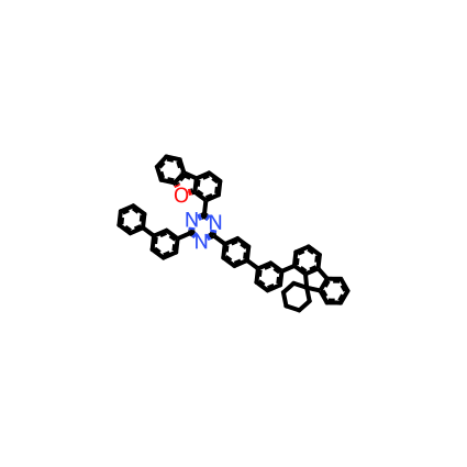 c1ccc(-c2cccc(-c3nc(-c4ccc(-c5cccc(-c6cccc7c6C6(CCCCC6)c6ccccc6-7)c5)cc4)nc(-c4cccc5c4oc4ccccc45)n3)c2)cc1